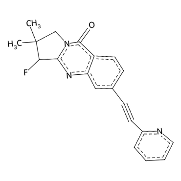 CC1(C)Cn2c(nc3cc(C#Cc4ccccn4)ccc3c2=O)C1F